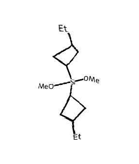 CCC1CC([Si](OC)(OC)C2CC(CC)C2)C1